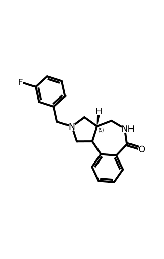 O=C1NC[C@H]2CN(Cc3cccc(F)c3)CC2c2ccccc21